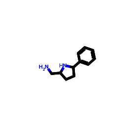 NCC1CCC(c2ccccc2)N1